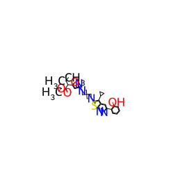 COC(=O)C(c1cc(N2CC3(C2)CN(c2sc4nnc(-c5ccccc5O)cc4c2C2CC2)C3)no1)C(C)C